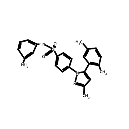 Cc1ccc(C)c(-c2cc(C)nn2-c2ccc(S(=O)(=O)Nc3cccc(N)c3)cc2)c1